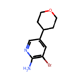 Nc1ncc(C2CCOCC2)cc1Br